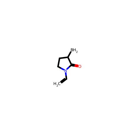 BC1CCN(C=C)C1=O